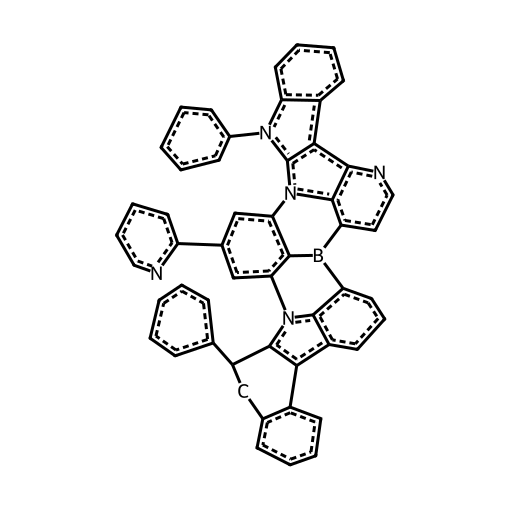 c1ccc(C2Cc3ccccc3-c3c2n2c4c(cccc34)B3c4c-2cc(-c2ccccn2)cc4-n2c4c3ccnc4c3c4ccccc4n(-c4ccccc4)c32)cc1